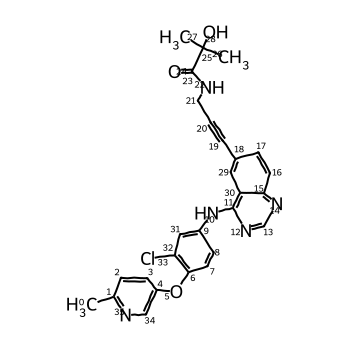 Cc1ccc(Oc2ccc(Nc3ncnc4ccc(C#CCNC(=O)C(C)(C)O)cc34)cc2Cl)cn1